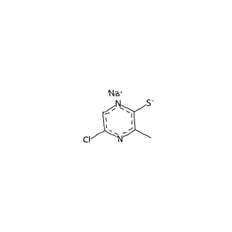 Cc1nc(Cl)cnc1[S-].[Na+]